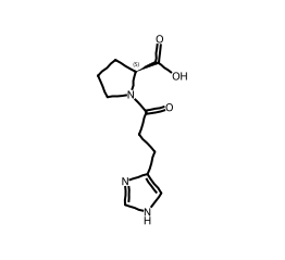 O=C(O)[C@@H]1CCCN1C(=O)CCc1c[nH]cn1